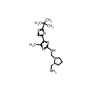 Cc1nc(NCN2CCC[C@H]2CN)sc1-c1csc(C(C)(C)C)n1